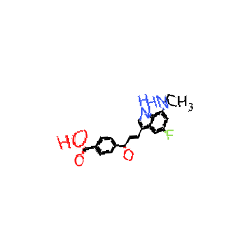 CNc1cc(F)cc2c(C=CC(=O)c3ccc(C(=O)O)cc3)c[nH]c12